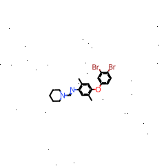 Cc1cc(Oc2ccc(Br)c(Br)c2)c(C)cc1N=CN1CCCCC1